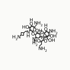 NCC[C@H](O)C(=O)N[C@@H]1C[C@H](N)C(O[C@H]2O[C@H](CN)[C@@H](O)[C@H](O)[C@H]2NCC2CC(N)C2)[C@H](O)[C@H]1O[C@H]1O[C@H](CO)[C@@H](O)[C@H](N)[C@H]1O